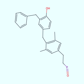 Cc1cc(CCP=O)cc(C)c1Cc1ccc(O)c(Cc2ccccc2)c1